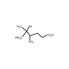 CC(C)C(C)(C(=O)O)C(C)CCC(=O)O